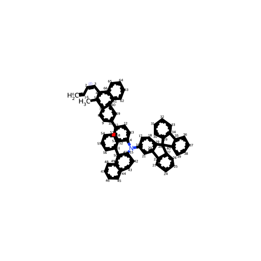 C=C/C=C\c1c(C)c2ccc(-c3ccc(N(c4ccc5c(c4)-c4ccccc4C54c5ccccc5-c5ccccc54)c4ccc5ccccc5c4-c4ccccc4)cc3)cc2c2ccccc12